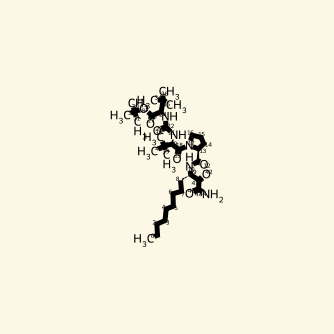 CCCCCCCCC[C@H](NC(=O)[C@@H]1CCCN1C(=O)[C@@H](NC(=O)N[C@H](C(=O)OC(C)(C)C)C(C)(C)C)C(C)(C)C)C(=O)C(N)=O